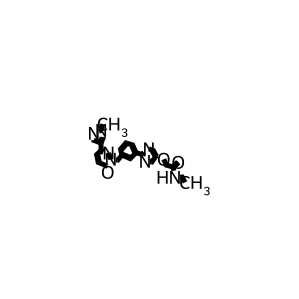 CCNC(=O)COc1cnc(-c2cccc(Cn3nc(-c4cnn(C)c4)ccc3=O)c2)nc1